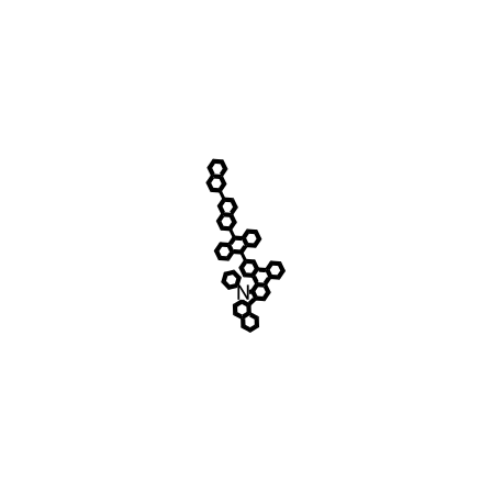 c1ccc(-n2c3ccc4ccccc4c3c3ccc4c5ccccc5c5cc(-c6c7ccccc7c(-c7ccc8cc(-c9ccc%10ccccc%10c9)ccc8c7)c7ccccc67)ccc5c4c32)cc1